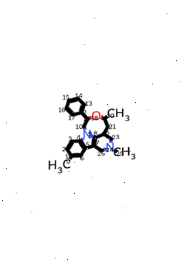 Cc1ccc2c(c1)c1c3n2CC(c2ccccc2)OC(C)CC3CN(C)C1